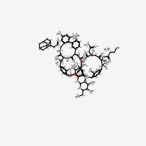 CC(C)C[C@@H](N)C(=O)N[C@H]1C(=O)C[C@@H](CC(N)=O)C(=O)N[C@H]2C(=O)C[C@H]3C(=O)N[C@H](C(=O)N[C@H](C(=O)CC4C5CC6CC(C5)CC4C6)c4cc(O)cc(O)c4-c4cc3ccc4O)[C@H](O)c3ccc(c(Cl)c3)Oc3cc2cc(c3OC2OC(CO)C(O)C(O)C2OC2CC(C)(N)C(O)C(C)O2)Oc2ccc(cc2Cl)[C@H]1O